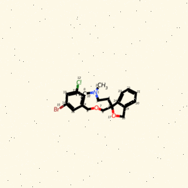 CN(C)CCC1(COCc2cc(Cl)cc(Br)c2)OCc2ccccc21